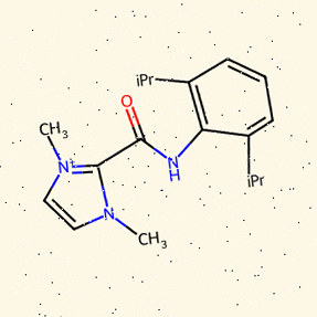 CC(C)c1cccc(C(C)C)c1NC(=O)c1n(C)cc[n+]1C